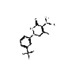 CN(C)C1=C(Cl)CN(c2cccc(C(F)(F)F)c2)NC1=O